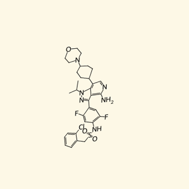 CC(C)n1nc(-c2cc(F)c(NS(=O)(=O)Cc3ccccc3Cl)cc2F)c2c(N)ncc(C3CCC(N4CCOCC4)CC3)c21